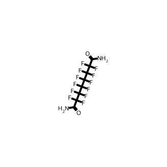 NC(=O)C(F)(F)C(F)(F)C(F)(F)C(F)(F)C(F)(F)C(F)(F)C(N)=O